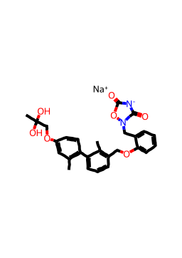 Cc1cc(OCC(C)(O)O)ccc1-c1cccc(COc2ccccc2Cn2oc(=O)[n-]c2=O)c1C.[Na+]